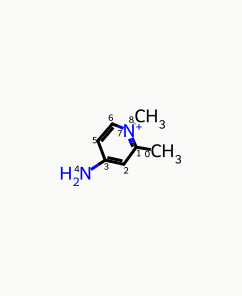 Cc1cc(N)cc[n+]1C